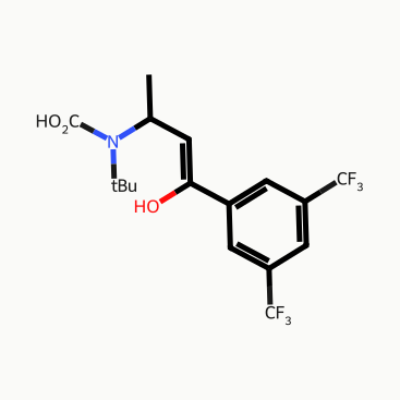 CC(C=C(O)c1cc(C(F)(F)F)cc(C(F)(F)F)c1)N(C(=O)O)C(C)(C)C